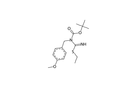 CCSC(=N)N(Cc1ccc(OC)cc1)C(=O)OC(C)(C)C